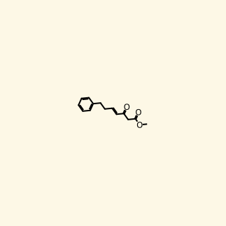 COC(=O)CC(=O)C=CCCc1ccccc1